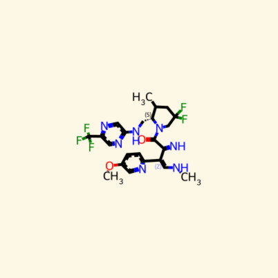 CN/C=C(\C(=N)C(=O)N1CC(F)(F)CC(C)[C@H]1CNc1cnc(C(F)(F)F)cn1)c1ccc(OC)cn1